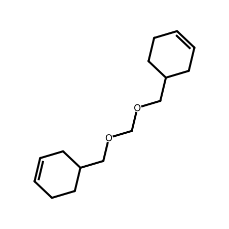 C1=CCC(COCOCC2CC=CCC2)CC1